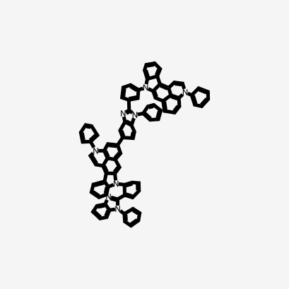 C1=CN(c2ccccc2)c2cccc3cc4c(c1c23)c1ccccc1n4-c1cccc(-c2nc3cc(-c4cc5c6c(c7c8ccccc8n(-c8ccccc8-c8nc9ccccc9n8-c8ccccc8)c7cc6c4)C=CN5c4ccccc4)ccc3n2-c2ccccc2)c1